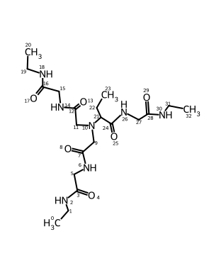 CCNC(=O)CNC(=O)CN(CC(=O)NCC(=O)NCC)C(CC)C(=O)NCC(=O)NCC